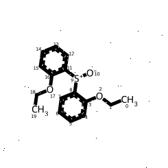 CCOc1ccccc1[S+]([O-])c1ccccc1OCC